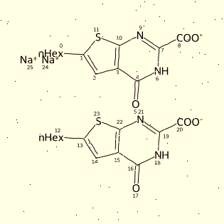 CCCCCCc1cc2c(=O)[nH]c(C(=O)[O-])nc2s1.CCCCCCc1cc2c(=O)[nH]c(C(=O)[O-])nc2s1.[Na+].[Na+]